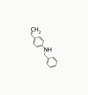 C=Cc1ccc(NCc2ccccc2)cc1